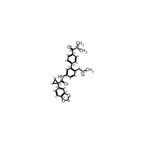 CNCc1ccc(NC(=O)C2(c3ccc4c(c3)OCO4)CC2)cc1-c1ccc(C(=O)N(C)C)cc1